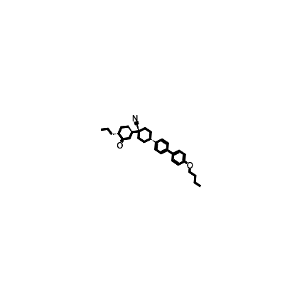 CCCCOc1ccc(-c2ccc([C@H]3CC[C@@](C#N)([C@@H]4CC[C@@H](CCC)C(=O)C4)CC3)cc2)cc1